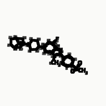 Cn1c(-c2ccc(S(C)(=O)=O)cc2)nc2c(F)cc(C3CCN(C4CC5CCC(C4)N5)CC3)cc21